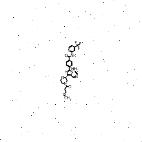 COCCC(=O)N1CCO[C@@H](C2=C3C=NC=C[N+]3(N)C(c3ccc(C(=O)Nc4cc(C(F)(F)F)ccn4)cc3)=N2)C1